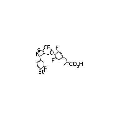 CCC1=CC=C(c2nsc(C(F)(F)F)c2COc2c(F)cc(CC(C)C(=O)O)cc2F)CC1(C)F